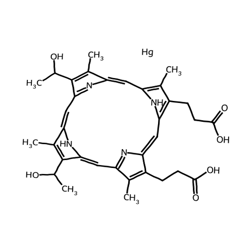 CC1=C(CCC(=O)O)c2cc3[nH]c(cc4nc(cc5[nH]c(cc1n2)c(C(C)O)c5C)C(C(C)O)=C4C)c(C)c3CCC(=O)O.[Hg]